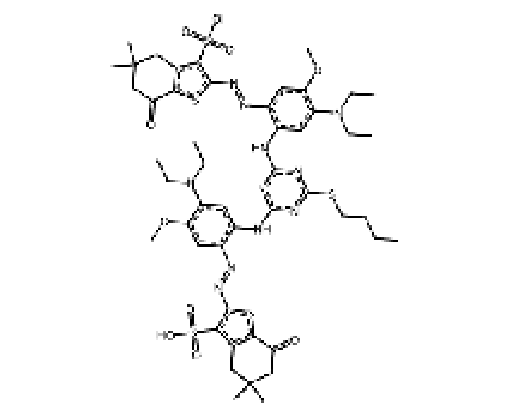 CCCCSc1nc(Nc2cc(N(CC)CC)c(OC)cc2/N=N/c2sc3c(c2S(=O)(=O)O)CC(C)(C)CC3=O)nc(Nc2cc(N(CC)CC)c(OC)cc2/N=N/c2sc3c(c2S(=O)(=O)O)CC(C)(C)CC3=O)n1